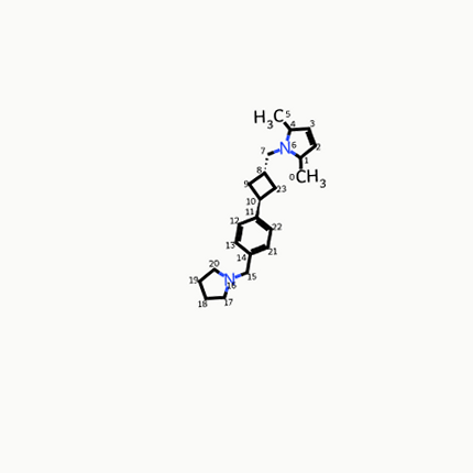 CC1C=CC(C)N1C[C@H]1C[C@H](c2ccc(CN3CCCC3)cc2)C1